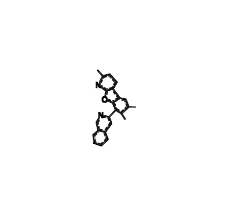 Cc1ccc2c(n1)oc1c(-c3cc4ccccc4cn3)c(C)c(C)cc12